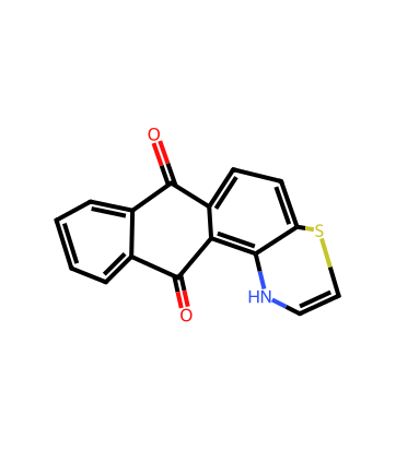 O=c1c2ccccc2c(=O)c2c1ccc1scc[nH]c12